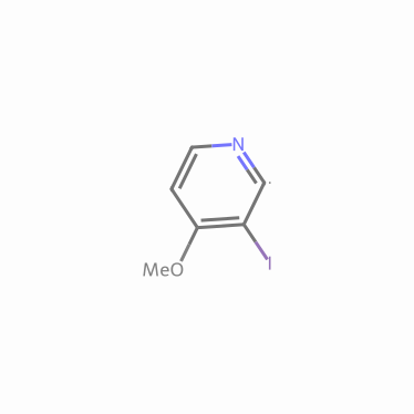 COc1ccn[c]c1I